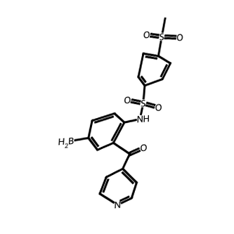 Bc1ccc(NS(=O)(=O)c2ccc(S(C)(=O)=O)cc2)c(C(=O)c2ccncc2)c1